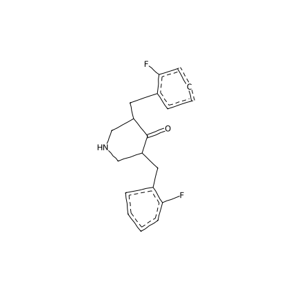 O=C1C(Cc2ccccc2F)CNCC1Cc1ccccc1F